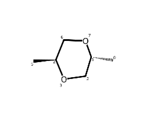 C[C@@H]1CO[C@@H](C)CO1